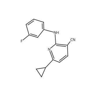 N#Cc1ccc(C2CC2)nc1Nc1cccc(F)c1